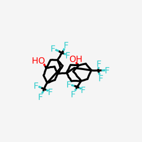 OC12CC3(C(F)(F)F)CC(C(F)(F)F)(C1)CC(C14CC5(O)CC(C(F)(F)F)(CC(C(F)(F)F)(C5)C1)C4)(C2)C3